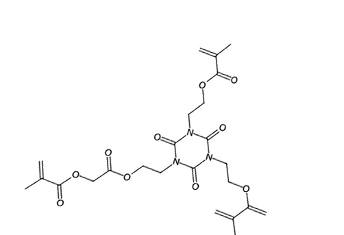 C=C(C)C(=C)OCCn1c(=O)n(CCOC(=O)COC(=O)C(=C)C)c(=O)n(CCOC(=O)C(=C)C)c1=O